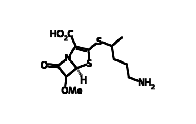 COC1C(=O)N2C(C(=O)O)=C(SC(C)CCCN)S[C@@H]12